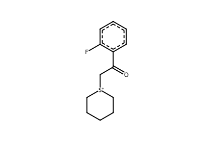 O=C(C[S+]1CCCCC1)c1ccccc1F